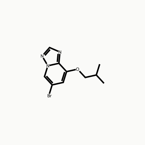 CC(C)COc1cc(Br)cn2ncnc12